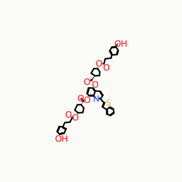 O=C(CCc1ccc(O)cc1)O[C@H]1CC[C@H](C(=O)Oc2ccc(OC(=O)[C@H]3CC[C@H](OC(=O)CCc4ccc(O)cc4)CC3)c3nc(-c4cc5ccccc5s4)ccc23)CC1